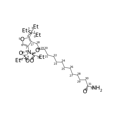 CC[Si](CC)(CC)c1occ(N(S(=O)(=O)CC)S(=O)(=O)CC)c1CCCCCCCCCCCCCC(N)=O